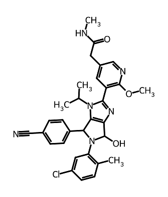 CNC(=O)Cc1cnc(OC)c(-c2nc3c(n2C(C)C)C(c2ccc(C#N)cc2)N(c2cc(Cl)ccc2C)C3O)c1